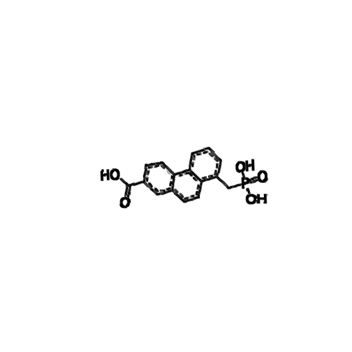 O=C(O)c1ccc2c(ccc3c(CP(=O)(O)O)cccc32)c1